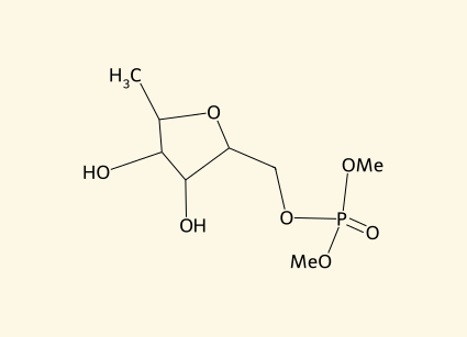 COP(=O)(OC)OCC1OC(C)C(O)C1O